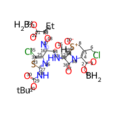 BOC(=O)C1=C(CCl)C[S+]([O-])[C@@H]2[C@H](NC(=O)/C(=N\O[C@H](CC)C(=O)OB)c3nc(NC(=O)OC(C)(C)C)sc3Cl)C(=O)N12